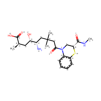 CNC(=O)[C@H]1CN(C(=O)CC(C)(C)C[C@H](N)[C@@H](O)C[C@@H](C)C(=O)O)c2ccccc2S1